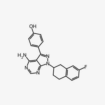 Nc1ncnc2c1c(-c1ccc(O)cc1)nn2C1CCc2ccc(F)cc2C1